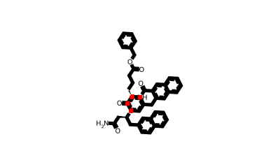 NC(=O)C[C@H](Cc1ccc2ccccc2c1)OC(=O)[C@H](CCCC(=O)OCc1ccccc1)NC(=O)c1cc2ccccc2cc1Cc1ccccc1